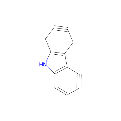 C1#CCc2c([nH]c3ccc#cc23)C1